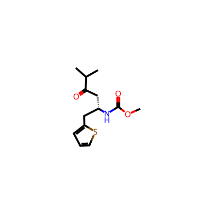 COC(=O)N[C@@H](CC(=O)C(C)C)Cc1cccs1